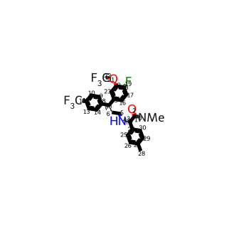 CNC(=O)[C@@H](NCC[C@H](c1ccc(C(F)(F)F)cc1)c1ccc(F)c(OC(F)(F)F)c1)c1ccc(C)cc1